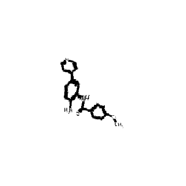 COc1ccc(C(=O)Nc2cc(-c3ccncc3)ccc2N)cc1